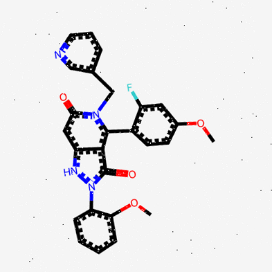 COc1ccc(-c2c3c(=O)n(-c4ccccc4OC)[nH]c3cc(=O)n2Cc2cccnc2)c(F)c1